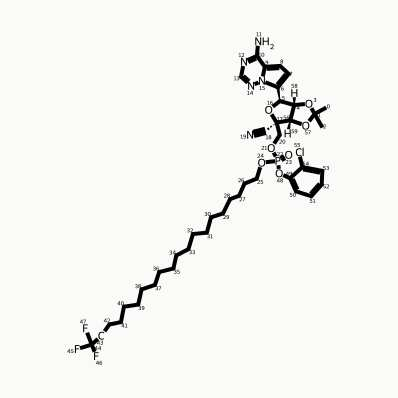 CC1(C)O[C@H]2[C@H](c3ccc4c(N)ncnn34)O[C@](C#N)(COP(=O)(OCCCCCCCCCCCCCCCCCCCC(F)(F)F)Oc3ccccc3Cl)[C@H]2O1